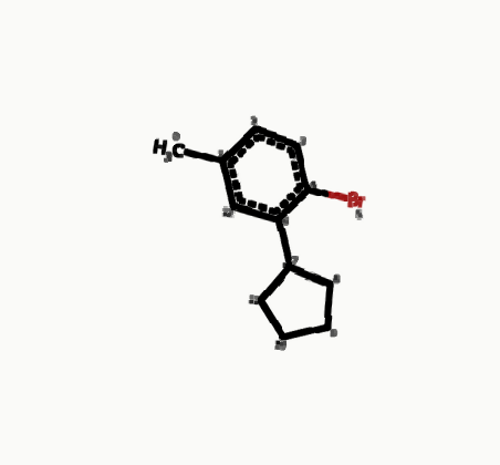 Cc1ccc(Br)c([C]2CCCC2)c1